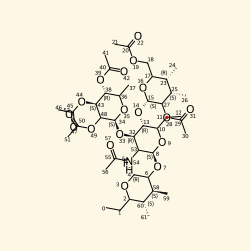 CCC1O[C@H](F)C(O[C@@H]2OC(CC)[C@@H](O[C@@H]3OC(COC(C)=O)[C@H](C)[C@H](C)C3OC(C)=O)[C@H](O[C@@H]3OC(C)[C@@H](OC(C)=O)[C@H](OC(C)=O)C3OC(C)=O)C2NC(C)=O)[C@@H](C)[C@@H]1C